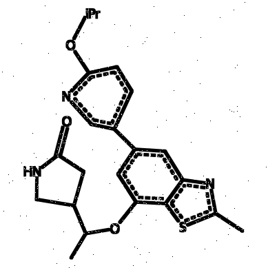 Cc1nc2cc(-c3ccc(OC(C)C)nc3)cc(OC(C)C3CNC(=O)C3)c2s1